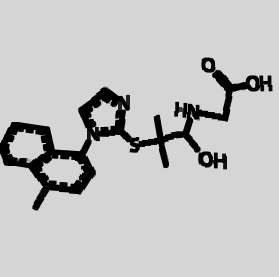 Cc1ccc(-n2ccnc2SC(C)(C)C(O)NCC(=O)O)c2ccccc12